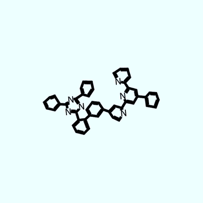 c1ccc(-c2cc(-c3ccccn3)nc(-c3cc(-c4cccc(-c5ccccc5-c5nc(-c6ccccc6)nc(-c6ccccc6)n5)c4)ccn3)c2)cc1